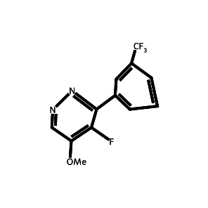 COc1cnnc(-c2cccc(C(F)(F)F)c2)c1F